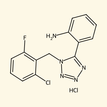 Cl.Nc1ccccc1-c1nnnn1Cc1c(F)cccc1Cl